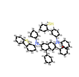 Sc1ccccc1-c1cccc(N(c2ccccc2)c2cc3cc(N(c4ccccc4)c4cccc5c4sc4ccccc45)cc(-c4ccccc4)c3cc2-c2ccccc2)c1